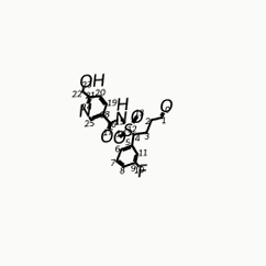 O=CCCC(c1cccc(F)c1)S(=O)(=O)NC(=O)c1ccc(CO)nc1